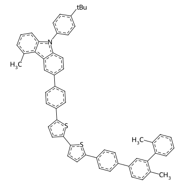 Cc1ccccc1-c1cc(-c2ccc(-c3ccc(-c4ccc(-c5ccc(-c6ccc7c(c6)c6c(C)cccc6n7-c6ccc(C(C)(C)C)cc6)cc5)s4)s3)cc2)ccc1C